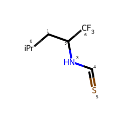 CC(C)CC(NC=S)C(F)(F)F